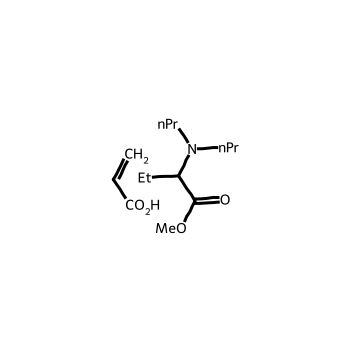 C=CC(=O)O.CCCN(CCC)C(CC)C(=O)OC